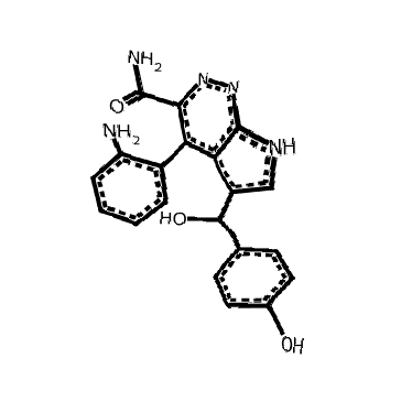 NC(=O)c1nnc2[nH]cc(C(O)c3ccc(O)cc3)c2c1-c1ccccc1N